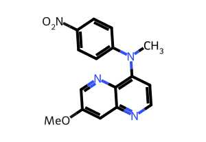 COc1cnc2c(N(C)c3ccc([N+](=O)[O-])cc3)ccnc2c1